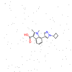 Cc1c(C(=O)O)c2cccc(-c3cnn(C4CCC4)c3)c2n1C